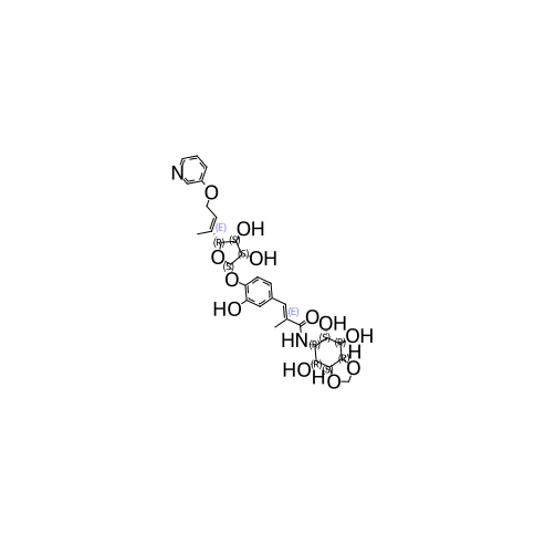 C/C(=C\c1ccc(O[C@@H]2O[C@H](/C(C)=C/COc3cccnc3)[C@@H](O)[C@@H]2O)c(O)c1)C(=O)N[C@@H]1[C@H](O)[C@@H](O)[C@H]2OCO[C@H]2[C@@H]1O